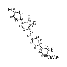 CCc1ccc(-c2ccc(CCc3ccc(-c4ccc(OC)c(F)c4)cc3)c(F)c2F)nc1